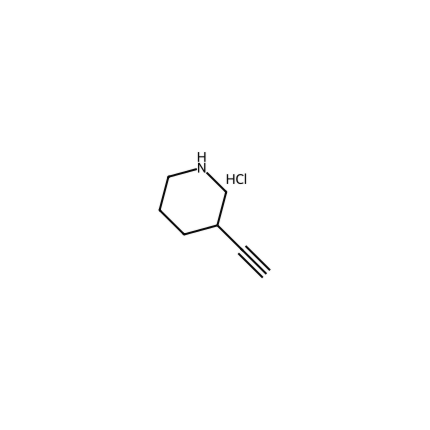 C#CC1CCCNC1.Cl